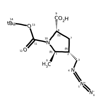 C[C@@H]1[C@@H](CN=[N+]=[N-])C[C@@H](C(=O)O)N1C(=O)OC(C)(C)C